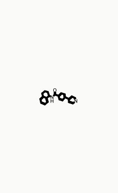 O=C(NC1CCCc2ccccc21)c1ccc(-c2ccncc2)cc1